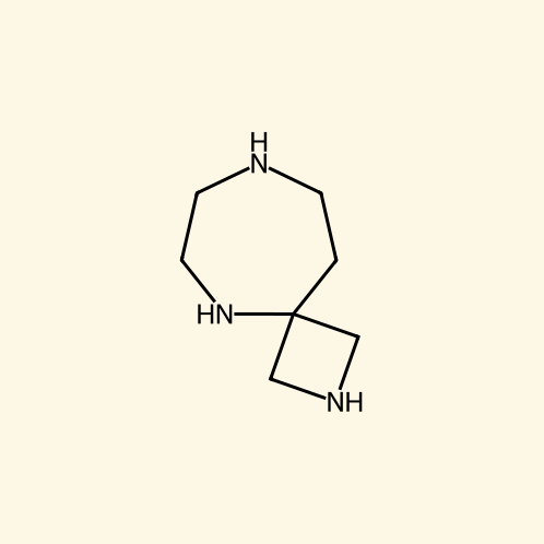 C1CNC2(CCN1)CNC2